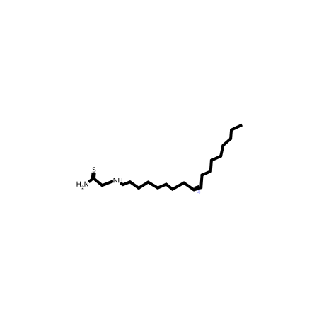 CCCCCCCC/C=C\CCCCCCCCNCC(N)=S